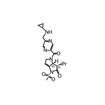 CC(C)[C@H]1C(=O)N(S(C)(=O)=O)C2=CCN(C(=O)c3cnc(CNC4CC4)cn3)[C@@H]21